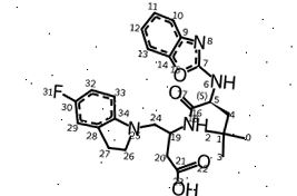 CC(C)(C)C[C@H](Nc1nc2ccccc2o1)C(=O)NC(CC(=O)O)CN1CCc2cc(F)ccc21